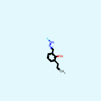 C=CCc1cccc(/C=N/NF)c1O